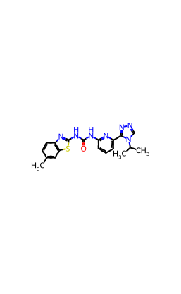 Cc1ccc2nc(NC(=O)Nc3cccc(-c4nncn4C(C)C)n3)sc2c1